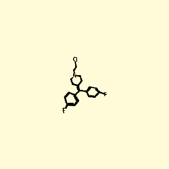 Fc1ccc(C(=C2CCN(CCCl)CC2)c2ccc(F)cc2)cc1